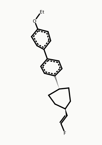 CCOc1ccc(-c2ccc([C@H]3CC[C@H](C=CF)CC3)cc2)cc1